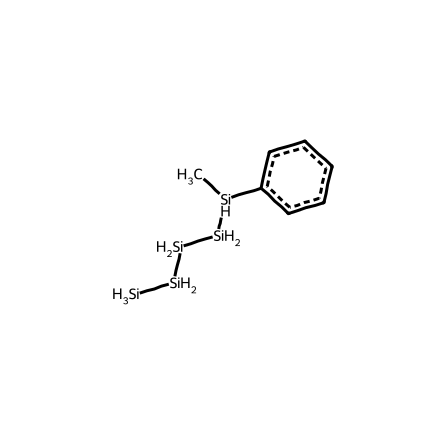 C[SiH]([SiH2][SiH2][SiH2][SiH3])c1ccccc1